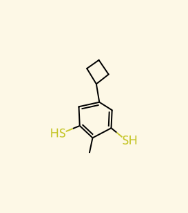 Cc1c(S)cc(C2CCC2)cc1S